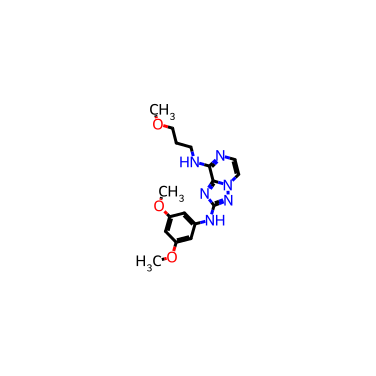 COCCCNc1nccn2nc(Nc3cc(OC)cc(OC)c3)nc12